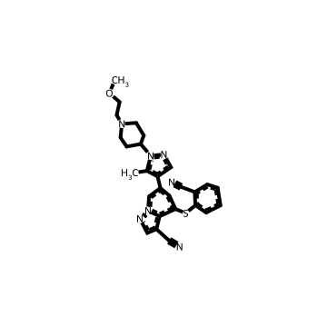 COCCN1CCC(n2ncc(-c3cc(Sc4ccccc4C#N)c4c(C#N)cnn4c3)c2C)CC1